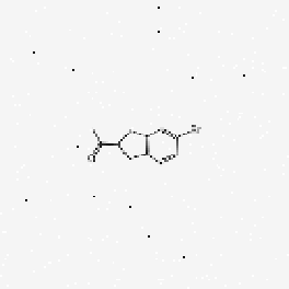 CC(=O)C1Cc2ccc(Br)cc2C1